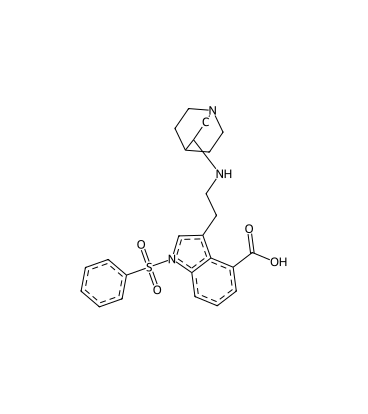 O=C(O)c1cccc2c1c(CCNC1CN3CCC1CC3)cn2S(=O)(=O)c1ccccc1